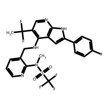 CN(c1ncccc1CNc1c(C(C)(F)F)cnc2[nH]c(-c3ccc(F)cc3)cc12)S(=O)(=O)C(F)(F)F